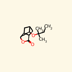 CCC(C)(C)OC1C2CC3C(=O)OC1C3C2